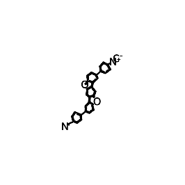 [C-]#[N+]c1ccc(-c2ccc3oc4cc5c(cc4c3c2)oc2ccc(-c3ccc(C#N)cc3)cc25)cc1